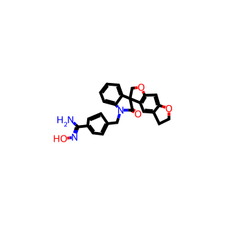 N/C(=N\O)c1ccc(CN2C(=O)C3(COc4cc5c(cc43)CCO5)c3ccccc32)cc1